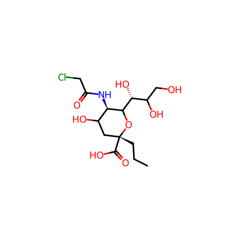 CCC[C@@]1(C(=O)O)CC(O)[C@@H](NC(=O)CCl)C([C@H](O)C(O)CO)O1